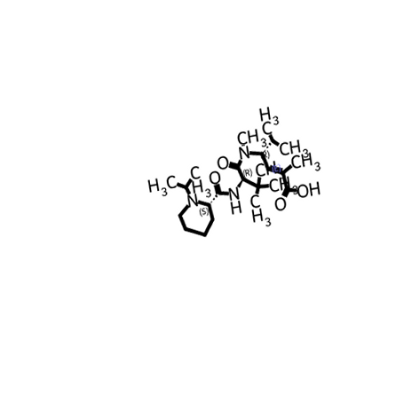 C/C(=C\[C@@H](C(C)C)N(C)C(=O)[C@H](NC(=O)[C@@H]1CCCCN1C(C)C)C(C)(C)C)C(=O)O